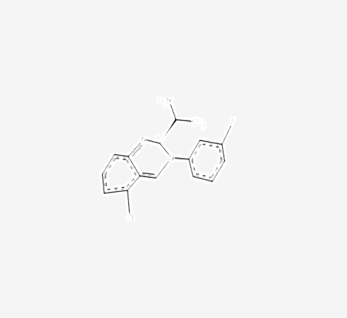 CC(N)[C@@H]1N=c2cccc(Cl)c2=CN1c1cccc(F)c1